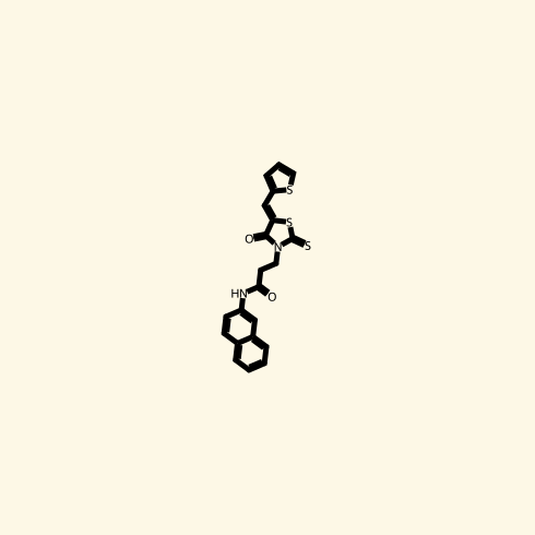 O=C(CCN1C(=O)/C(=C/c2cccs2)SC1=S)Nc1ccc2ccccc2c1